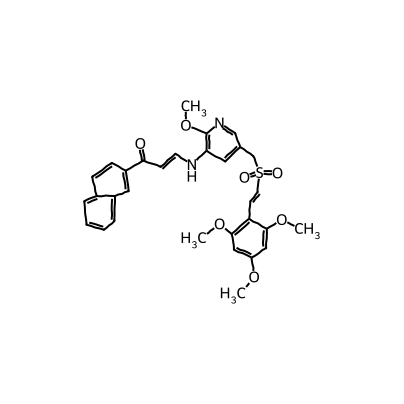 COc1cc(OC)c(C=CS(=O)(=O)Cc2cnc(OC)c(NC=CC(=O)c3ccc4ccccc4c3)c2)c(OC)c1